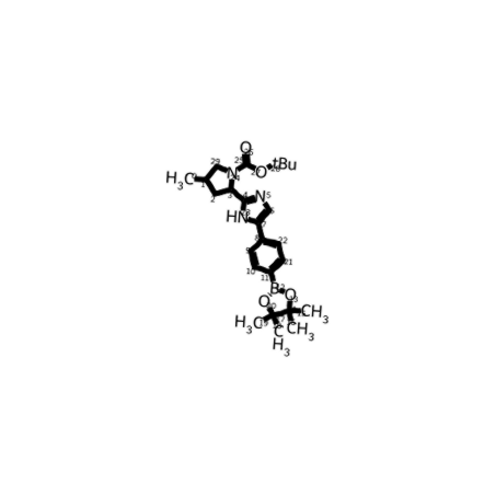 CC1CC(c2ncc(-c3ccc(B4OC(C)(C)C(C)(C)O4)cc3)[nH]2)N(C(=O)OC(C)(C)C)C1